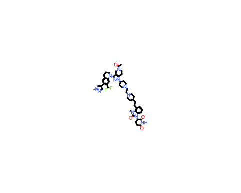 CC(=O)N1CCc2c(c(N3CCCc4cc(-c5cnn(C)c5)c(C(F)F)cc43)nn2C2CCN(CCN3CCC(CCc4cccc5c4n(C)c(=O)n5C4CCC(=O)NC4=O)CC3)CC2)C1